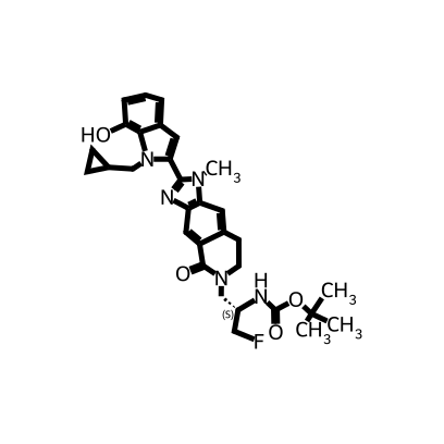 Cn1c(-c2cc3cccc(O)c3n2CC2CC2)nc2cc3c(cc21)CCN(C[C@@H](CF)NC(=O)OC(C)(C)C)C3=O